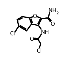 NC(=O)c1oc2ccc(Cl)cc2c1NC(=O)CCl